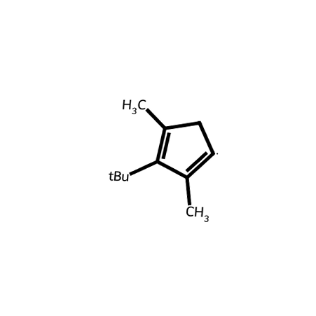 CC1=[C]CC(C)=C1C(C)(C)C